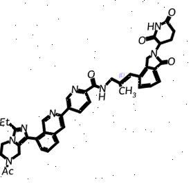 CCc1nc(-c2cccc3cc(-c4ccc(C(=O)NC/C(C)=C/c5cccc6c5CN(C5CCC(=O)NC5=O)C6=O)nc4)ncc23)c2n1CCN(C(C)=O)C2